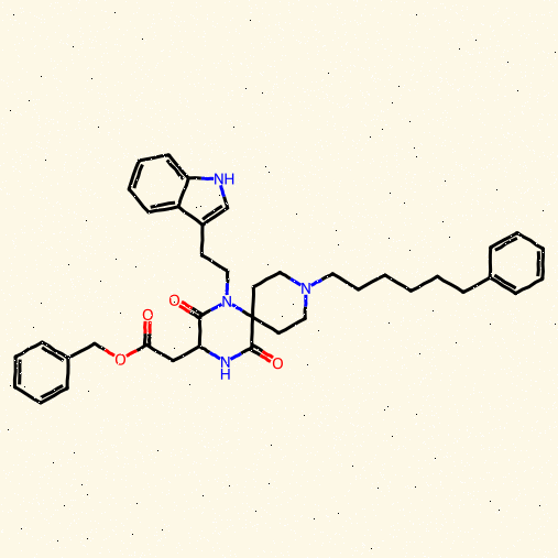 O=C(CC1NC(=O)C2(CCN(CCCCCCc3ccccc3)CC2)N(CCc2c[nH]c3ccccc23)C1=O)OCc1ccccc1